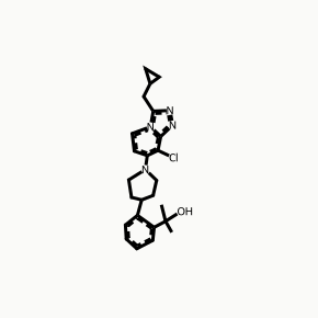 CC(C)(O)c1ccccc1C1CCN(c2ccn3c(CC4CC4)nnc3c2Cl)CC1